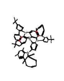 Cc1cc2c3c(c1)N(c1ccc(C(C)(C)C)cc1-c1ccccc1)c1cc4c(cc1B3c1cc(N3c5c(C)cc(C)cc5C5(C)CCCCC35C)ccc1N2c1ccc(C(C)(C)C)cc1-c1ccccc1)CC(C)(C)C4